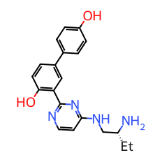 CC[C@@H](N)CNc1ccnc(-c2cc(-c3ccc(O)cc3)ccc2O)n1